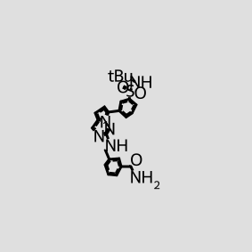 CC(C)(C)NS(=O)(=O)c1cccc(-c2ccc3cnc(NCc4cccc(C(N)=O)c4)nn23)c1